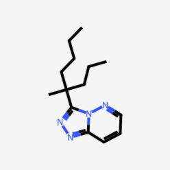 CCCCC(C)(CCC)c1nnc2cccnn12